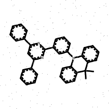 CC1(C)c2ccccc2N(c2cccc(-c3nc(-c4ccccc4)cc(-c4ccccc4)n3)c2)c2ccccc21